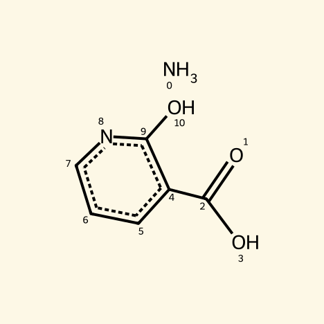 N.O=C(O)c1cccnc1O